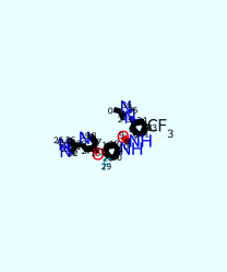 Cc1cn(-c2cc(NC(=O)Nc3ccc(Oc4ccnc(-c5cnn(C)c5)c4)c(F)c3)cc(C(F)(F)F)c2)cn1